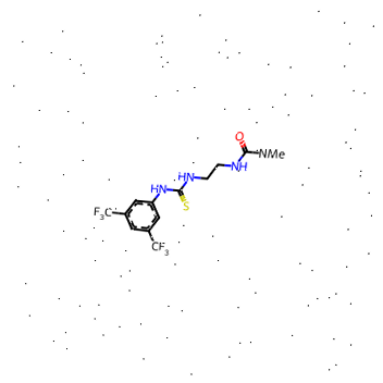 CNC(=O)NCCNC(=S)Nc1cc(C(F)(F)F)cc(C(F)(F)F)c1